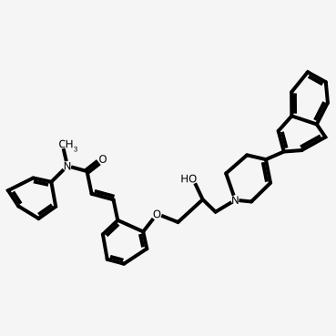 CN(C(=O)/C=C/c1ccccc1OCC(O)CN1CC=C(c2ccc3ccccc3c2)CC1)c1ccccc1